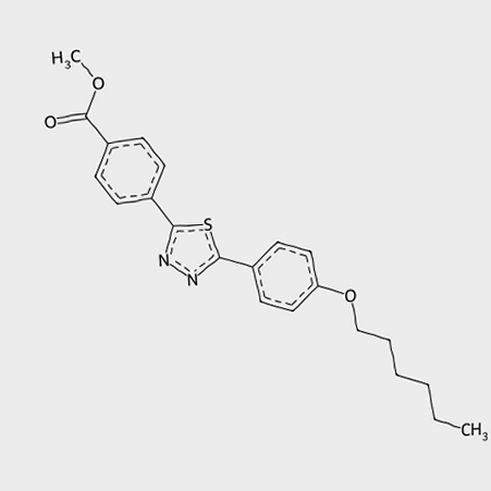 CCCCCCOc1ccc(-c2nnc(-c3ccc(C(=O)OC)cc3)s2)cc1